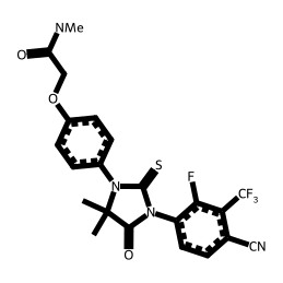 CNC(=O)COc1ccc(N2C(=S)N(c3ccc(C#N)c(C(F)(F)F)c3F)C(=O)C2(C)C)cc1